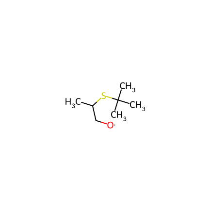 CC(C[O])SC(C)(C)C